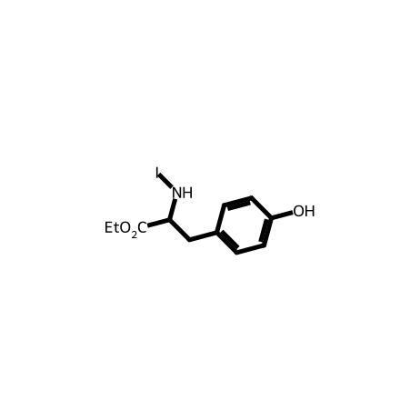 CCOC(=O)C(Cc1ccc(O)cc1)NI